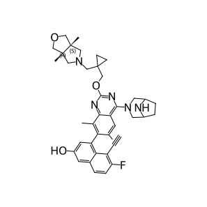 C#Cc1c(F)ccc2cc(O)cc(-c3c(C)cc4c(N5CC6CCC(C5)N6)nc(OCC5(CN6C[C@]7(C)COC[C@]7(C)C6)CC5)nc4c3C)c12